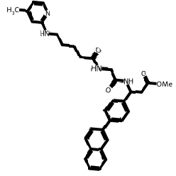 COC(=O)CC(NC(=O)CNC(=O)CCCCNc1cc(C)ccn1)c1ccc(-c2ccc3ccccc3c2)cc1